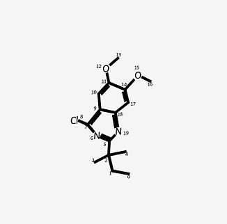 CCC(C)(C)c1nc(Cl)c2cc(OC)c(OC)cc2n1